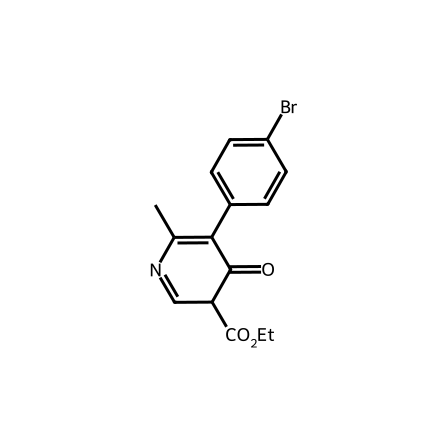 CCOC(=O)C1C=NC(C)=C(c2ccc(Br)cc2)C1=O